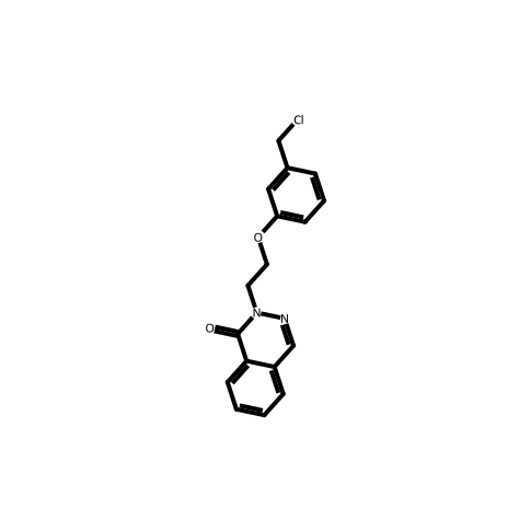 O=c1c2ccccc2cnn1CCOc1cccc(CCl)c1